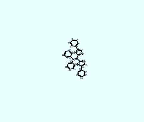 c1ccc(-c2cnc3n2-c2ccccc2N2B3c3ncc(-c4ccccc4)n3-c3ccccc32)cc1